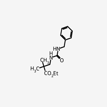 CCOC(=O)C(C)(C)CNC(=O)NCc1ccccc1